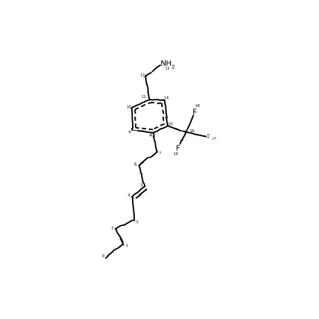 CCCC/C=C/CCc1ccc(CN)cc1C(F)(F)F